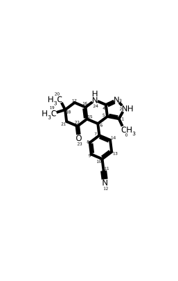 Cc1[nH]nc2c1C(c1ccc(C#N)cc1)C1=C(CC(C)(C)CC1=O)N2